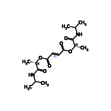 CC(C)NC(=O)[C@H](C)OC(=O)/C=C/C(=O)O[C@@H](C)C(=O)NC(C)C